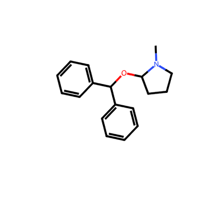 CN1CCCC1OC(c1ccccc1)c1ccccc1